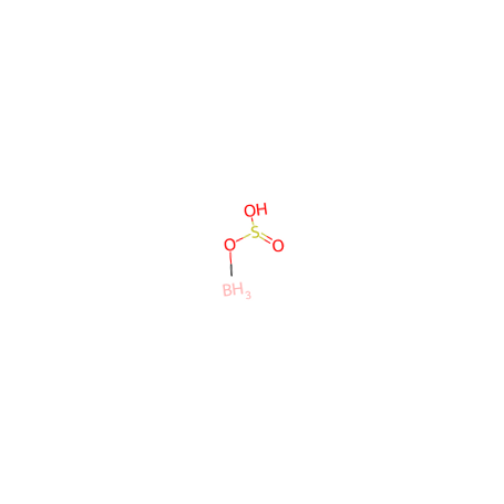 B.COS(=O)O